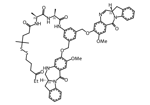 CCC(=O)CCCSSC(C)(C)CCC(=O)N[C@@H](C)C(=O)N[C@@H](C)C(=O)Nc1cc(COc2cc3c(cc2OC)C(=O)N2c4ccccc4C[C@H]2C=N3)cc(COc2cc3c(cc2OC)C(=O)N2c4ccccc4C[C@H]2CN3)c1